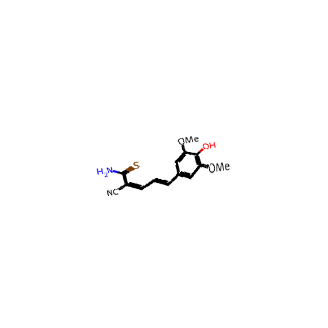 COc1cc(C=CC=C(C#N)C(N)=S)cc(OC)c1O